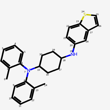 Cc1ccccc1N(c1ccccc1C)C1CCC(Nc2ccc3sccc3c2)CC1